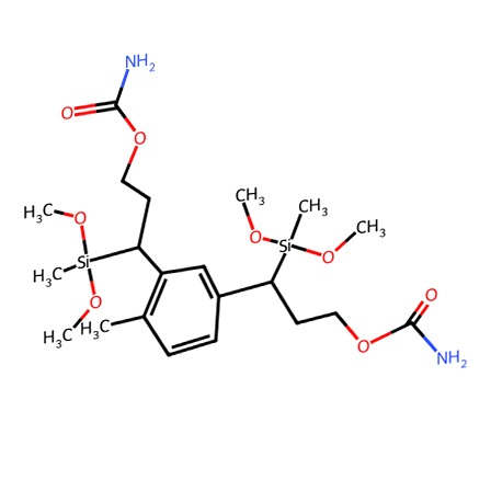 CO[Si](C)(OC)C(CCOC(N)=O)c1ccc(C)c(C(CCOC(N)=O)[Si](C)(OC)OC)c1